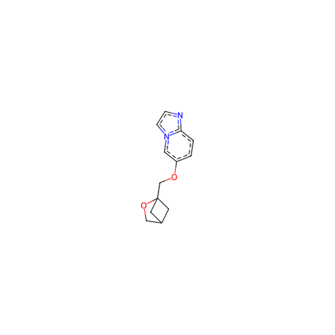 c1cn2cc(OCC34CC(CO3)C4)ccc2n1